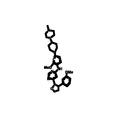 COc1cccc(C2CCON2c2cc(Nc3ccc(N4CCC(N5CCN(C)CC5)CC4)cc3OC)ncn2)c1